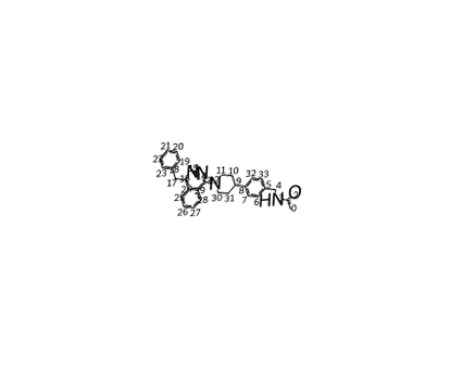 CC(=O)NCc1ccc(C2CCN(c3nnc(Cc4ccccc4)c4ccccc34)CC2)cc1